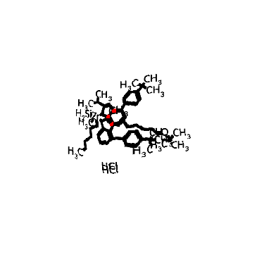 CCCCC[CH2][Zr]([CH3])(=[SiH2])([CH]1C(C(C)C)=Cc2c(-c3ccc(C(C)(C)C)cc3)cccc21)[CH]1C(C)=C(CCCCCCOC(C)(C)C)c2c(-c3ccc(C(C)(C)C)cc3)cccc21.Cl.Cl